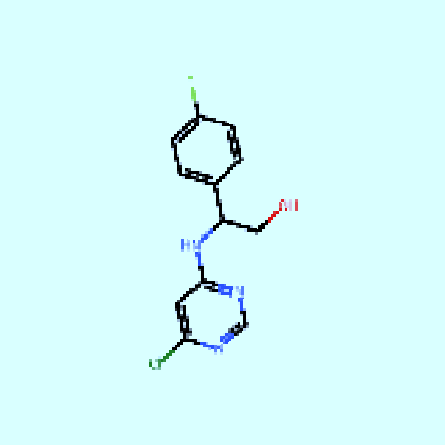 OCC(Nc1cc(Cl)ncn1)c1ccc(F)cc1